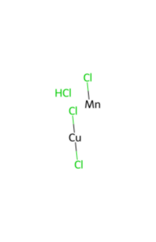 Cl.[Cl][Cu][Cl].[Cl][Mn]